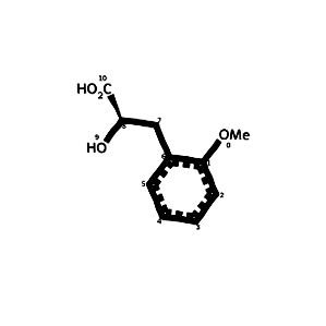 COc1ccccc1C[C@@H](O)C(=O)O